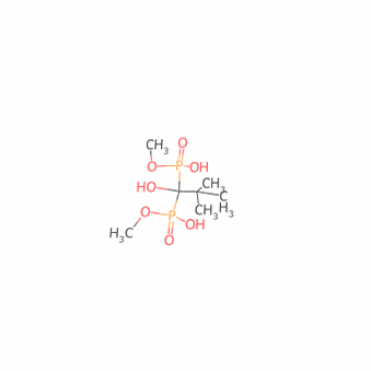 COP(=O)(O)C(O)(C(C)(C)C)P(=O)(O)OC